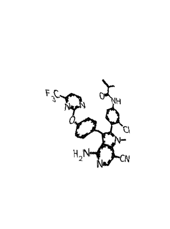 C=C(C)C(=O)Nc1ccc(-c2c(-c3ccc(Oc4nccc(C(F)(F)F)n4)cc3)c3c(N)ncc(C#N)c3n2C)c(Cl)c1